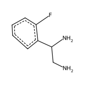 NCC(N)c1ccccc1F